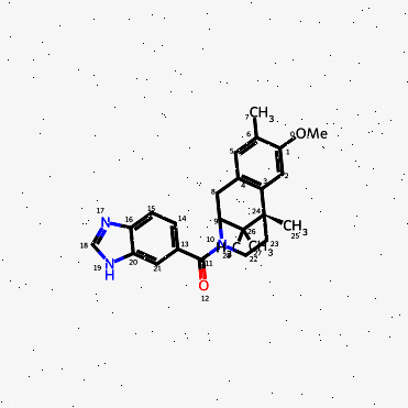 COc1cc2c(cc1C)CC1N(C(=O)c3ccc4nc[nH]c4c3)CC[C@]2(C)C1(C)C